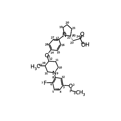 CCOc1ccc(F)c(N2CCC(Oc3ccc(N4CCC[C@@H]4CC(=O)O)cc3)C(C)C2)c1